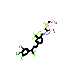 CCS(=O)(=O)C[C@@H](C)NC(=O)c1ccc(/C=C/C(c2cc(Cl)c(Cl)c(Cl)c2)C(F)(F)F)cc1C(F)(F)F